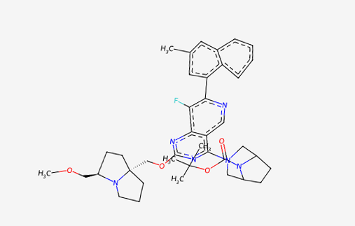 COC[C@H]1CC[C@@]2(COc3nc(N4CC5CCC(C4)N5C(=O)OC(C)(C)C)c4cnc(-c5cc(C)cc6ccccc56)c(F)c4n3)CCCN12